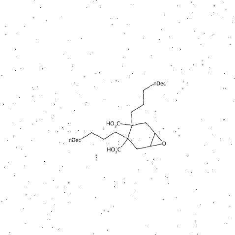 CCCCCCCCCCCCCC1(C(=O)O)CC2OC2CC1(CCCCCCCCCCCCC)C(=O)O